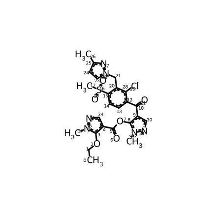 CCOc1c(C(=O)Oc2c(C(=O)c3ccc(S(C)(=O)=O)c(Cn4ccc(C)n4)c3Cl)cnn2C)cnn1C